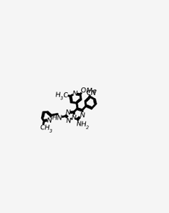 COc1cc(-c2c(-c3cccc(C#N)c3)nc(N)n3nc(NCc4cccc(C)n4)nc23)cc(C)n1